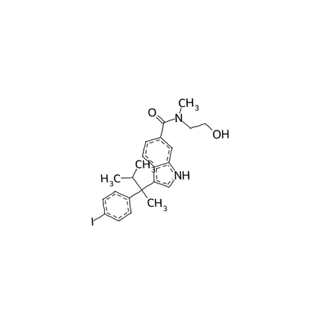 CC(C)C(C)(c1ccc(I)cc1)c1c[nH]c2cc(C(=O)N(C)CCO)ccc12